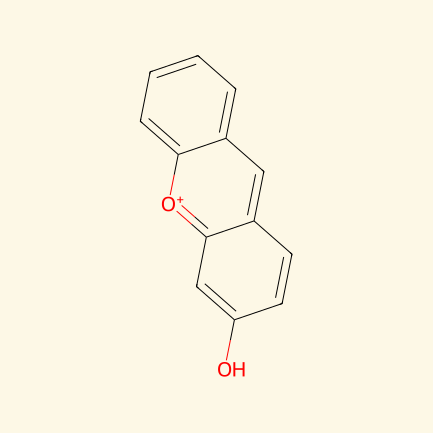 Oc1ccc2cc3ccccc3[o+]c2c1